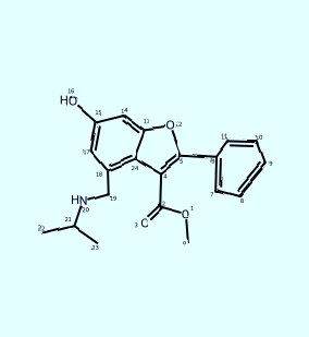 COC(=O)c1c(-c2ccccc2)oc2cc(O)cc(CNC(C)C)c12